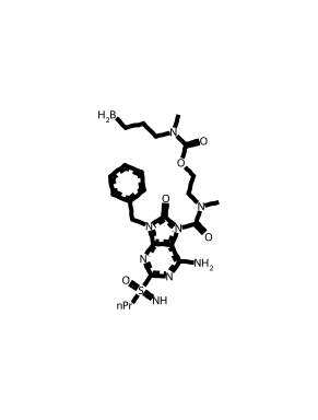 BCCCN(C)C(=O)OCCN(C)C(=O)n1c(=O)n(Cc2ccccc2)c2nc(S(=N)(=O)CCC)nc(N)c21